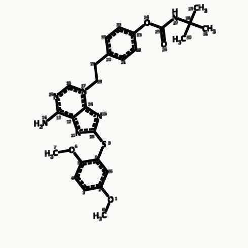 COc1ccc(OC)c(Sc2nc3c(N)ncn(CCc4ccc(OC(=O)NC(C)(C)C)cc4)c-3n2)c1